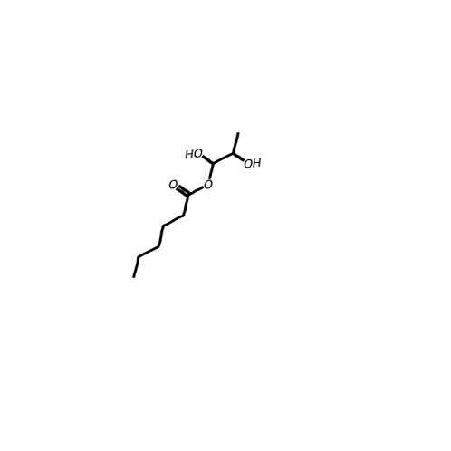 CCCCCC(=O)OC(O)C(C)O